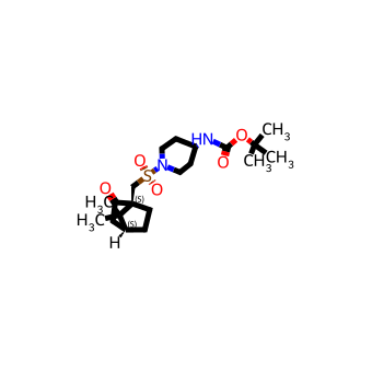 CC(C)(C)OC(=O)NC1CCN(S(=O)(=O)C[C@]23CC[C@@H](CC2=O)C3(C)C)CC1